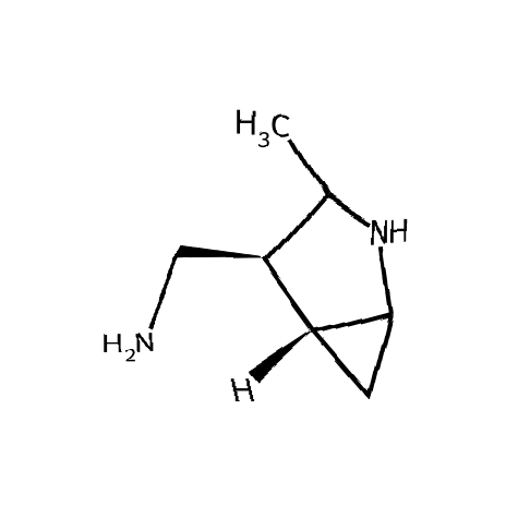 CC1NC2C[C@@H]2[C@H]1CN